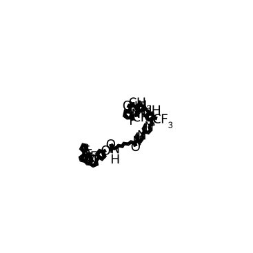 CN1C(=O)c2cccc(F)c2N(C)c2nc(Nc3ccc(CN4CCC(N5CCN(C(=O)CCCCCNC(=O)COc6ccc(C7=[N+]8C(=Cc9ccc(-c%10cccs%10)n9[B-]8(F)F)C=C7)cc6)CC5)CC4)c(C(F)(F)F)c3)ncc21